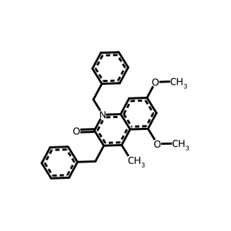 COc1cc(OC)c2c(C)c(Cc3ccccc3)c(=O)n(Cc3ccccc3)c2c1